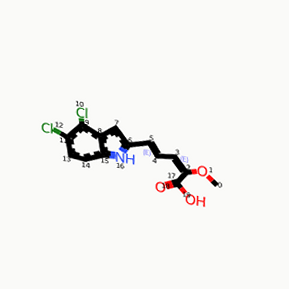 CO/C(=C/C=C/c1cc2c(Cl)c(Cl)ccc2[nH]1)C(=O)O